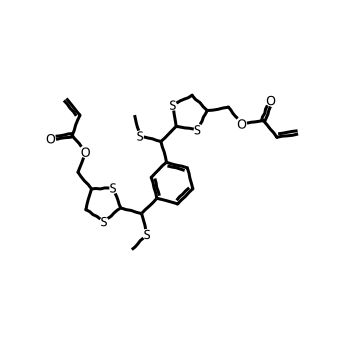 C=CC(=O)OCC1CSC(C(SC)c2cccc(C(SC)C3SCC(COC(=O)C=C)S3)c2)S1